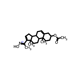 CC(=O)OC1CCC2(C)C(=CCC3C2CCC2(C)C(/C(C)=N/O)=CCC32)C1